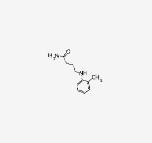 Cc1ccccc1NCCCC(N)=O